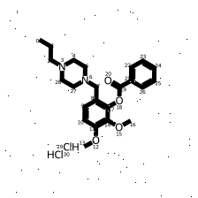 CCCN1CCN(Cc2ccc(OC)c(OC)c2OC(=O)c2ccccc2)CC1.Cl.Cl